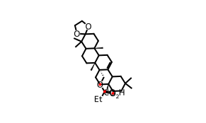 CCC(=O)OC[C@@]12CC[C@@]3(C(=O)O)CCC(C)(C)CC3C1=CCC1[C@@]3(C)CCC4(OCCO4)C(C)(C)C3CC[C@]12C